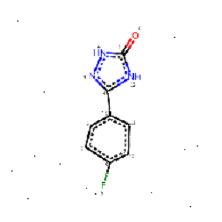 O=c1[nH]nc(-c2ccc(F)cc2)[nH]1